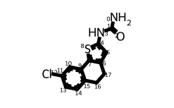 NC(=O)Nc1cc2c(s1)-c1cc(Cl)ccc1CC2